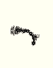 CC1(C)c2cc3[nH]c4c(ccc5c6cc(-c7ccc(-c8cc(-c9ccccc9)nc(Cl)n8)cc7)ccc6oc54)c3cc2C(C)(C)C1(C)C